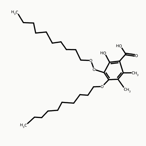 CCCCCCCCCCOOc1c(O)c(C(=O)O)c(C)c(C)c1OCCCCCCCCCC